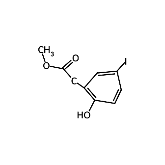 COC(=O)Cc1cc(I)ccc1O